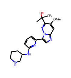 COc1cc2ncc(-c3cccc(NC4CCCNC4)n3)n2nc1C(C)(O)C(F)(F)F